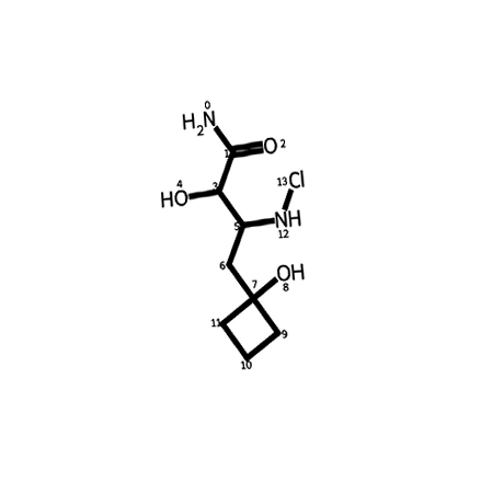 NC(=O)C(O)C(CC1(O)CCC1)NCl